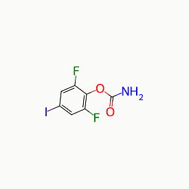 NC(=O)Oc1c(F)cc(I)cc1F